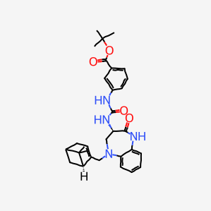 CC(C)(C)OC(=O)c1cccc(NC(=O)N[C@@H]2CN(CC3=CCC4C[C@H]3C4(C)C)c3ccccc3NC2=O)c1